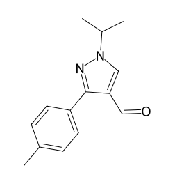 Cc1ccc(-c2nn(C(C)C)cc2C=O)cc1